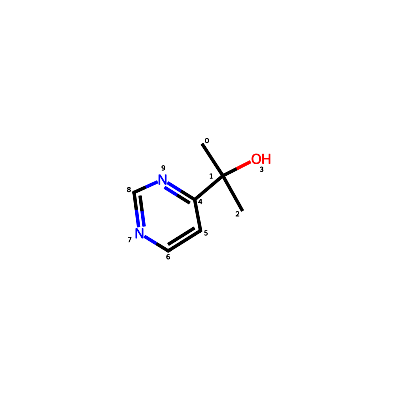 CC(C)(O)c1ccncn1